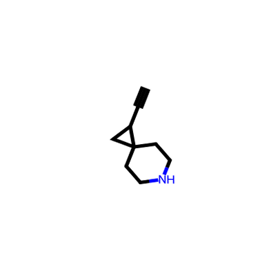 C#CC1CC12CCNCC2